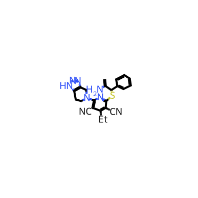 C=C(N)C(Sc1nc(N2CCc3[nH]nnc3C2)c(C#N)c(CC)c1C#N)c1ccccc1